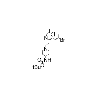 C=C(Cl)\C=N/C(=C/C=C(\C)Br)CCN1CCC(NC(=O)OC(C)(C)C)CC1